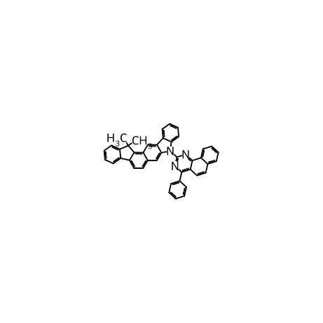 CC1(C)c2ccccc2-c2ccc3cc4c(cc3c21)c1ccccc1n4-c1nc(-c2ccccc2)c2ccc3ccccc3c2n1